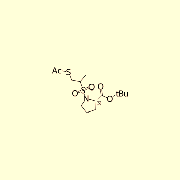 CC(=O)SCC(C)S(=O)(=O)N1CCC[C@H]1C(=O)OC(C)(C)C